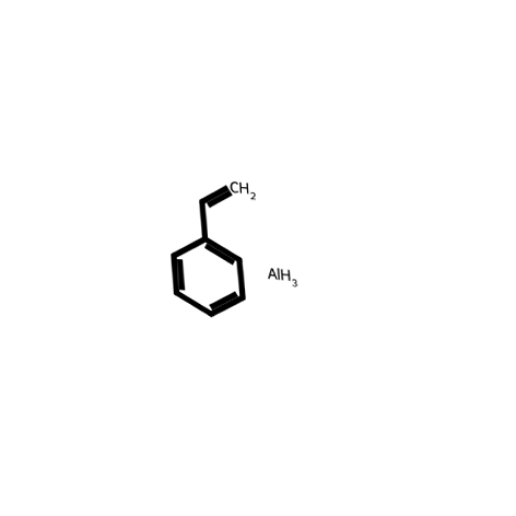 C=Cc1ccccc1.[AlH3]